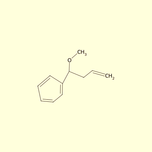 C=CCC(OC)c1ccccc1